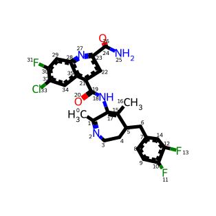 CC1=NCCC(Cc2ccc(F)c(F)c2)C(C)=C1NC(=O)c1cc(C(N)=O)nc2cc(F)c(Cl)cc12